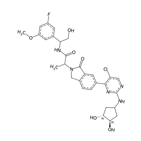 COc1cc(F)cc(C(CO)NC(=O)C(C)N2Cc3ccc(-c4nc(NC5C[C@@H](O)[C@H](O)C5)ncc4Cl)cc3C2=O)c1